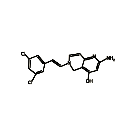 Nc1cc(O)c2c(n1)C=CN(C=Cc1cc(Cl)cc(Cl)c1)C2